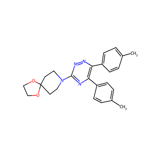 Cc1ccc(-c2nnc(N3CCC4(CC3)OCCO4)nc2-c2ccc(C)cc2)cc1